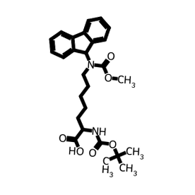 COC(=O)N(CCCCCC(NC(=O)OC(C)(C)C)C(=O)O)C1c2ccccc2-c2ccccc21